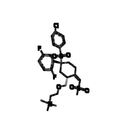 C[Si](C)(C)CCOC[C@@H]1C[C@](c2cc(F)ccc2F)(S(=O)(=O)c2ccc(Cl)cc2)CC/C1=C/S(C)(=O)=O